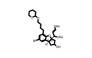 CSC=CC(SC)[C@@]12CC(O)C[C@H]1c1cc(Br)cc(CCCCOC3CCCCO3)c1O2